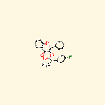 CC(C(=O)Oc1c(-c2ccccc2)oc2ccccc2c1=O)c1ccc(F)cc1